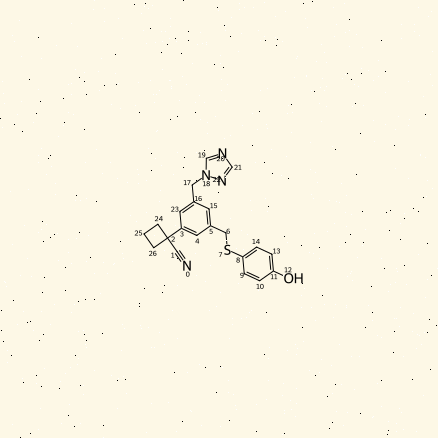 N#CC1(c2cc(CSc3ccc(O)cc3)cc(Cn3cncn3)c2)CCC1